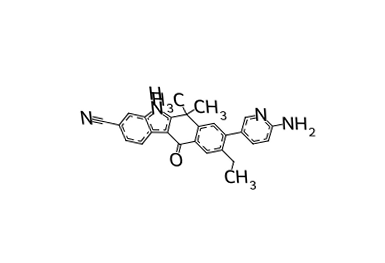 CCc1cc2c(cc1-c1ccc(N)nc1)C(C)(C)c1[nH]c3cc(C#N)ccc3c1C2=O